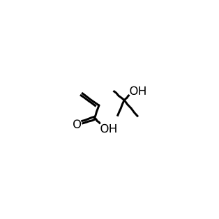 C=CC(=O)O.CC(C)(C)O